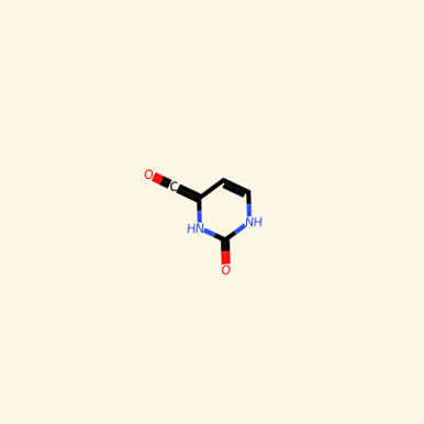 O=C=C1C=CNC(=O)N1